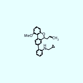 C=CCC1Oc2cccc(OC)c2-c2ccc(-c3ccccc3NCC3CC3)cc21